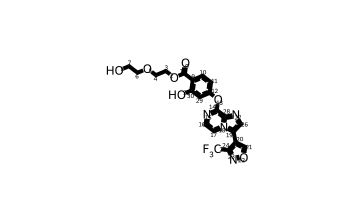 O=C(OCCOCCO)c1ccc(Oc2nccn3c(-c4conc4C(F)(F)F)cnc23)cc1O